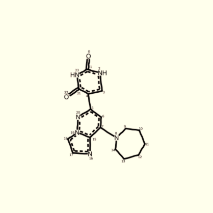 O=c1[nH]cc(-c2cc(N3CCCCCC3)c3nccn3n2)c(=O)[nH]1